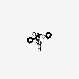 CC(C)(COc1ccccc1)C(=O)C(c1ccccc1)c1nc[nH]n1